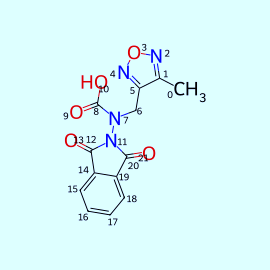 Cc1nonc1CN(C(=O)O)N1C(=O)c2ccccc2C1=O